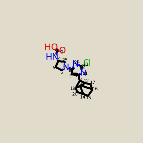 O=C(O)N[C@@H]1CCN(c2cc(C3C4CC5CC(C4)CC3C5)nc(Cl)n2)C1